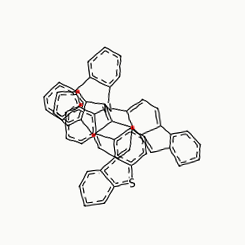 C1=CC2(C3=Cc4ccccc4C3=C1)C1=Cc3ccccc3C1=CC=C2N(c1ccccc1-c1ccccc1)c1ccccc1-c1cccc2sc3ccccc3c12